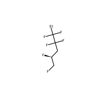 [CH2]CC(F)(F)C(F)(F)C[C@H](F)CF